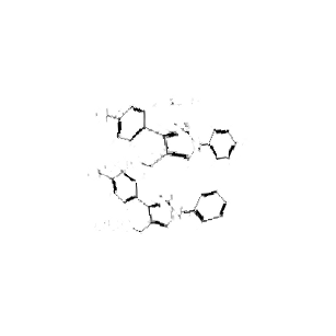 O=C([O-])Cc1cn(-c2ccccc2)nc1-c1ccc(Cl)cc1.O=C([O-])Cc1cn(-c2ccccc2)nc1-c1ccc(Cl)cc1.[Ca+2]